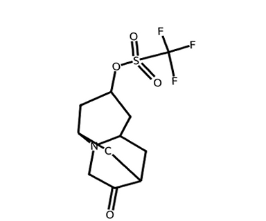 O=C1CN2C3CC(OS(=O)(=O)C(F)(F)F)CC2CC1C3